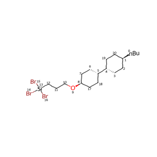 CCCC[C@H]1CC[C@H]([C@H]2CC[C@H](OCCC[Si](Br)(Br)Br)CC2)CC1